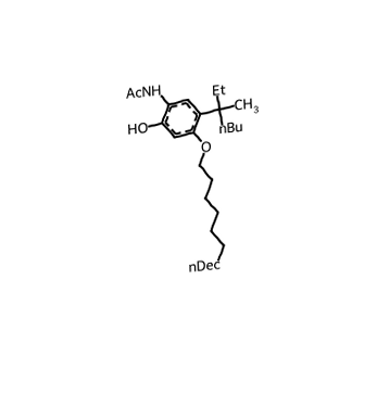 CCCCCCCCCCCCCCCCOc1cc(O)c(NC(C)=O)cc1C(C)(CC)CCCC